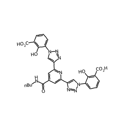 CCCCNC(=O)c1cc(-c2cn(-c3cccc(C(=O)O)c3O)nn2)nc(-c2cn(-c3cccc(C(=O)O)c3O)nn2)c1